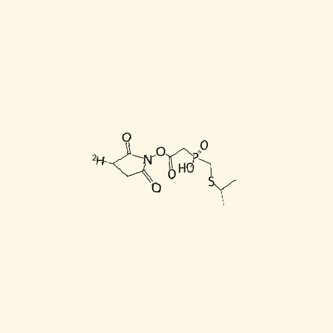 [2H]C1CC(=O)N(OC(=O)CP(=O)(O)CSC(C)C)C1=O